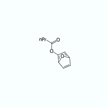 CCCC(=O)Oc1cc2ccc1o2